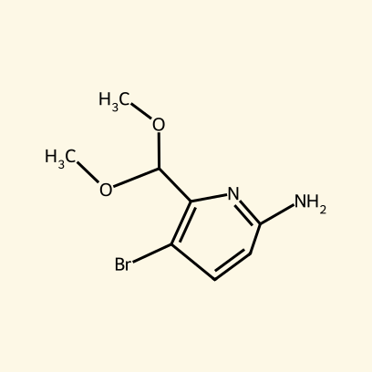 COC(OC)c1nc(N)ccc1Br